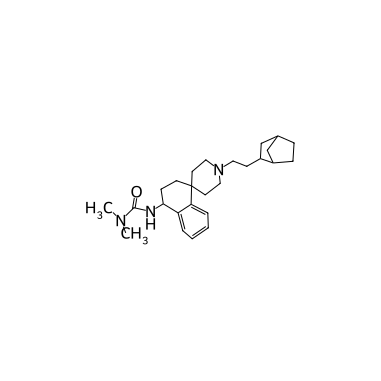 CN(C)C(=O)NC1CCC2(CCN(CCC3CC4CCC3C4)CC2)c2ccccc21